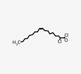 CCCCCCCC/C=C\CCCCCCC(Cl)C(=O)Cl